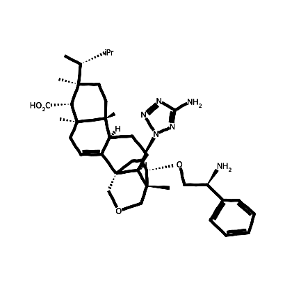 CC(C)[C@@H](C)[C@@]1(C)CC[C@]2(C)[C@H]3CC[C@@H]4[C@@]5(COC[C@@]4(C)[C@@H](OC[C@@H](N)c4ccccc4)[C@H](n4nnc(N)n4)C5)C3=CC[C@@]2(C)[C@@H]1C(=O)O